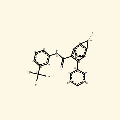 C[C@H]1c2c1c1oc2c(C(=O)Nc2cccc(C(F)(F)F)c2)c1-c1cncnc1